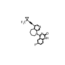 O=c1nc(N2CCCCc3c(C#CC4(C(F)(F)F)CC4)cncc32)c2cc(F)ccc2[nH]1